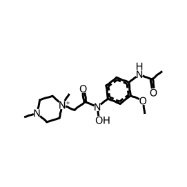 COc1cc(N(O)C(=O)C[N+]2(C)CCN(C)CC2)ccc1NC(C)=O